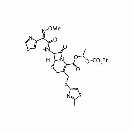 CCOC(=O)OC(C)OC(=O)C1=C(CSc2csc(C)n2)CS[C@H]2C(NC(=O)/C(=N\OC)c3cscn3)C(=O)N12